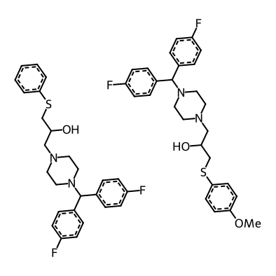 COc1ccc(SCC(O)CN2CCN(C(c3ccc(F)cc3)c3ccc(F)cc3)CC2)cc1.OC(CSc1ccccc1)CN1CCN(C(c2ccc(F)cc2)c2ccc(F)cc2)CC1